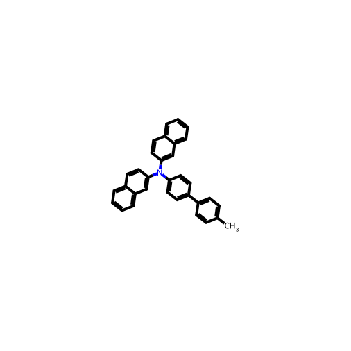 Cc1ccc(-c2ccc(N(c3ccc4ccccc4c3)c3ccc4ccccc4c3)cc2)cc1